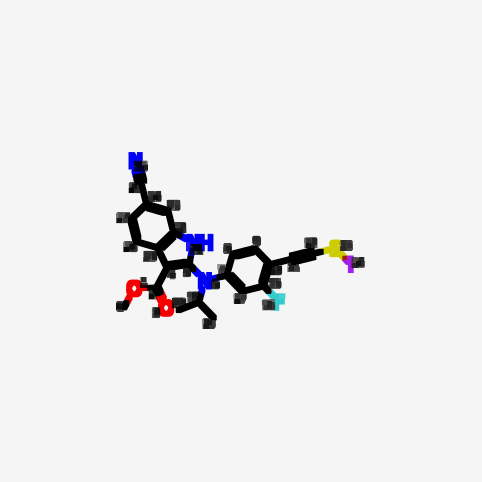 COC(=O)c1c(N(c2ccc(C#CSI)c(F)c2)C(C)C)[nH]c2cc(C#N)ccc12